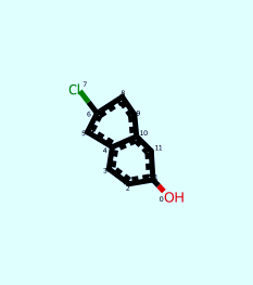 Oc1[c]cc2cc(Cl)ccc2c1